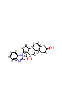 C[C@]12CC[C@H](O)CC1=CCC1C3CC=C(n4cnc5ccccc54)[C@@]3(CO)CCC12